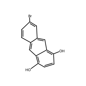 Oc1ccc(O)c2cc3cc(Br)ccc3cc12